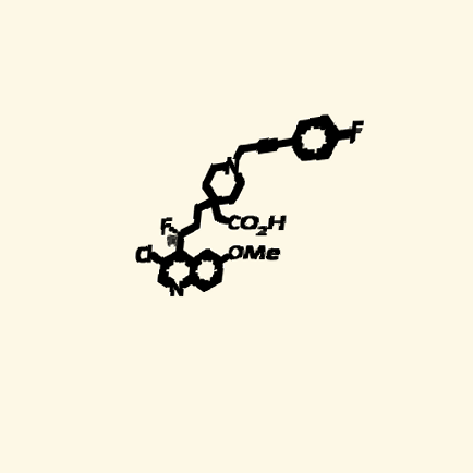 COc1ccc2ncc(Cl)c([C@H](F)CCC3(CC(=O)O)CCN(CC#Cc4ccc(F)cc4)CC3)c2c1